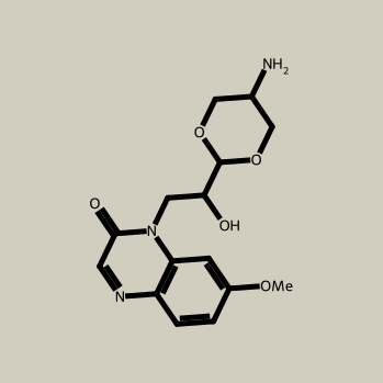 COc1ccc2ncc(=O)n(CC(O)C3OCC(N)CO3)c2c1